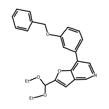 CCOC(OCC)c1cc2cncc(-c3cccc(OCc4ccccc4)c3)c2o1